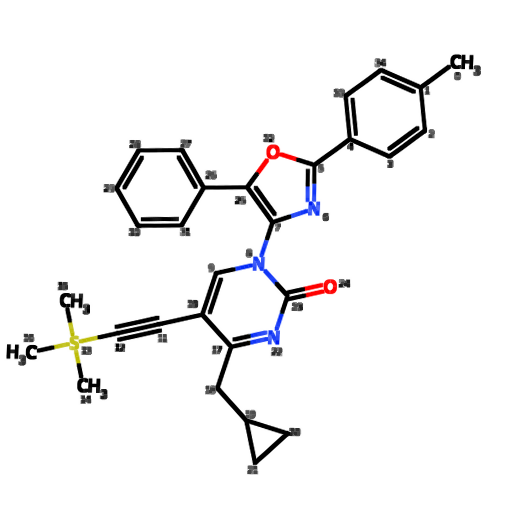 Cc1ccc(-c2nc(-n3cc(C#CS(C)(C)C)c(CC4CC4)nc3=O)c(-c3ccccc3)o2)cc1